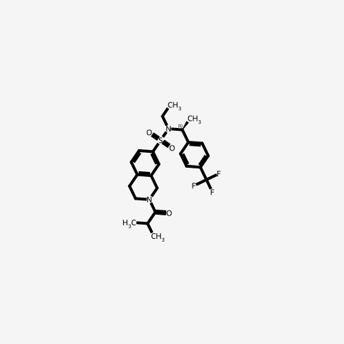 CCN([C@@H](C)c1ccc(C(F)(F)F)cc1)S(=O)(=O)c1ccc2c(c1)CN(C(=O)C(C)C)CC2